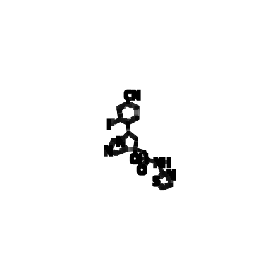 N#Cc1ccc([C@H]2C[C@](O)(CC(=O)Nc3nccs3)c3cncn32)c(F)c1